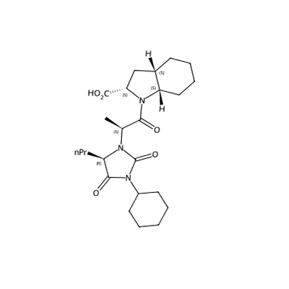 CCC[C@@H]1C(=O)N(C2CCCCC2)C(=O)N1[C@@H](C)C(=O)N1[C@H](C(=O)O)C[C@@H]2CCCC[C@@H]21